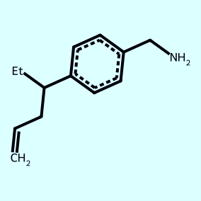 C=CCC(CC)c1ccc(CN)cc1